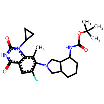 Cc1c(N2CC3CCCC(NC(=O)OC(C)(C)C)C3C2)c(F)cc2c(=O)[nH]c(=O)n(C3CC3)c12